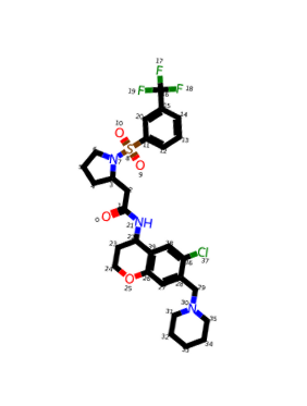 O=C(CC1CCCN1S(=O)(=O)c1cccc(C(F)(F)F)c1)NC1CCOc2cc(CN3CCCCC3)c(Cl)cc21